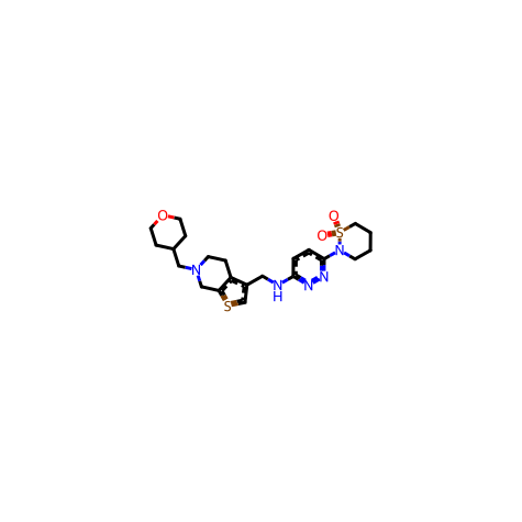 O=S1(=O)CCCCN1c1ccc(NCc2csc3c2CCN(CC2CCOCC2)C3)nn1